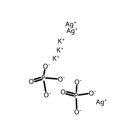 O=P([O-])([O-])[O-].O=P([O-])([O-])[O-].[Ag+].[Ag+].[Ag+].[K+].[K+].[K+]